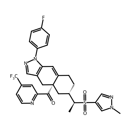 C[C@@H]([C@H]1CCC2=Cc3c(cnn3-c3ccc(F)cc3)C[C@]2(C(=O)c2cc(C(F)(F)F)ccn2)C1)S(=O)(=O)c1cnn(C)c1